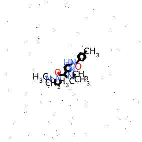 Cc1ccc(C(=O)Nc2ccc3c(C(=O)N4CCC[C@@H]4CN(C)C)cn(C(C)(C)C)c3n2)cc1